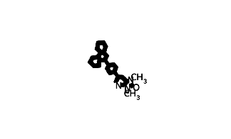 Cn1c(=O)n(C)c2ncc(-c3ccc(-c4cc5ccccc5c5ccccc45)cc3)cc21